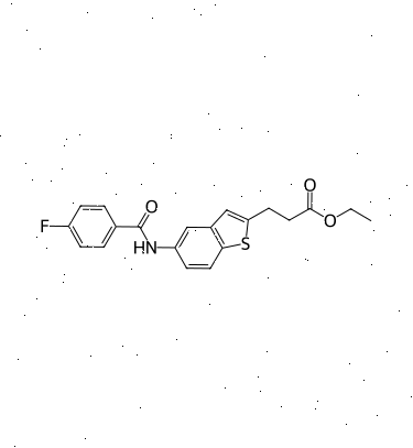 CCOC(=O)CCc1cc2cc(NC(=O)c3ccc(F)cc3)ccc2s1